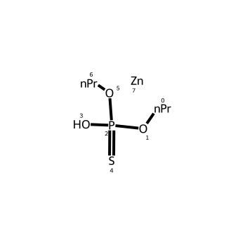 CCCOP(O)(=S)OCCC.[Zn]